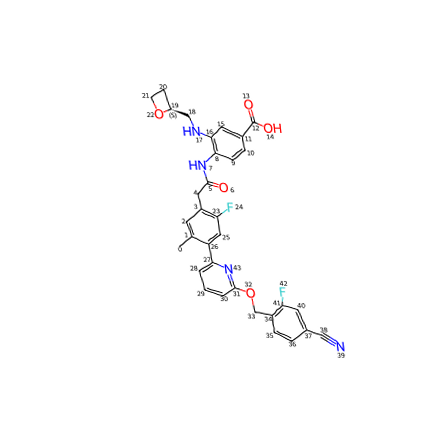 Cc1cc(CC(=O)Nc2ccc(C(=O)O)cc2NC[C@@H]2CCO2)c(F)cc1-c1cccc(OCc2ccc(C#N)cc2F)n1